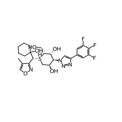 Cc1conc1[C@@H]([SH]1C[C@H](O)[C@H](n2cc(-c3cc(F)c(F)c(F)c3)nn2)[C@@H](O)[C@H]1CO)C1(O)CCCCC1